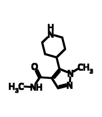 CNC(=O)c1cnn(C)c1C1CCNCC1